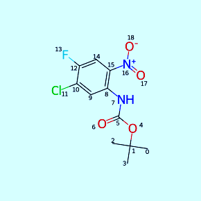 CC(C)(C)OC(=O)Nc1cc(Cl)c(F)cc1[N+](=O)[O-]